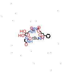 CC(C)(C)NC(=O)OC(CCCOC(=O)NCC(=O)NCC1OC(n2ccc(=O)[nH]c2=O)C(O)C1O)c1ccccc1